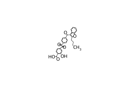 CCCCc1oc2ccccc2c1C(=O)c1ccc(S(=O)(=O)c2ccc(C(=O)O)c(O)c2)cc1